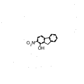 O=[N+]([O-])c1ccc2c(c1O)Cc1ccccc1-2